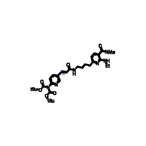 CCNc1nc(CCCCNC(=O)/C=C/c2ccc(N(C(=O)OC(C)(C)C)C(=O)OC(C)(C)C)nc2)ccc1C(=O)NC